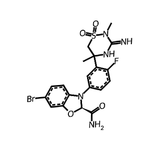 CN1C(=N)NC(C)(c2cc(N3c4ccc(Br)cc4O[C@@H]3C(N)=O)ccc2F)CS1(=O)=O